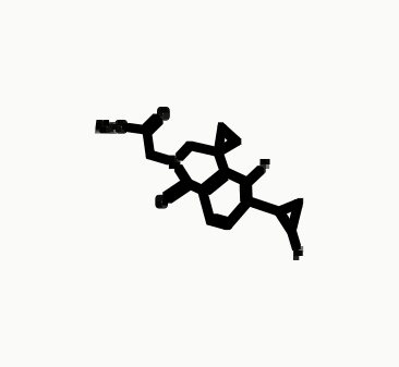 COC(=O)CN1CC2(CC2)c2c(ccc(C3CC3F)c2F)C1=O